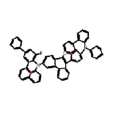 Fc1cc(-c2ccccc2)cc(-c2ccccc2)c1N(c1ccccc1)c1ccc2c(c1)c1ccccc1c1c3ccc(N(c4ccccc4)c4ccccc4-c4ccccc4)cc3oc21